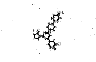 CC1CCCN1c1nc(-c2ccc(F)c(Cl)c2)cc(N2CCN(c3ccc(O)cn3)CC2)n1